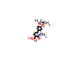 CN(C)S(=O)(=O)c1ccc(-c2ccc(C(=O)O)c(=O)n2C)cc1